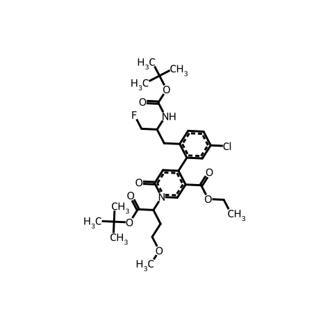 CCOC(=O)c1cn(C(CCOC)C(=O)OC(C)(C)C)c(=O)cc1-c1cc(Cl)ccc1CC(CF)NC(=O)OC(C)(C)C